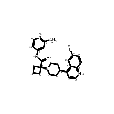 Cc1cc(NC(=O)C2(N3CCC(c4ccnc5ccc(F)cc45)CC3)CCC2)ccn1